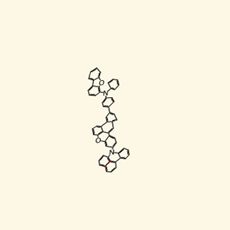 c1ccc(-c2ccccc2N(c2ccccc2)c2ccc3c(c2)Oc2cccc4c2c-3cc2ccc(-c3ccc(N(c5ccccc5)c5cccc6c5oc5ccccc56)cc3)cc24)cc1